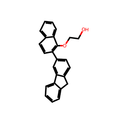 OCCOc1c(-c2ccc3c(c2)-c2ccccc2C3)ccc2ccccc12